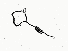 [CH2]CC#CC1CCO1